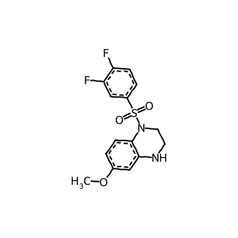 COc1ccc2c(c1)NCCN2S(=O)(=O)c1ccc(F)c(F)c1